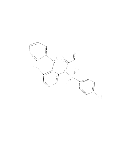 C=CC(=O)N(c1cccc(Cl)c1C(=C)c1ccccc1)S(=O)(=O)c1ccc(C)cc1